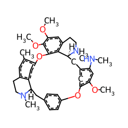 CNc1cc(OC)c2cc1C[C@H]1c3c(cc(OC)c(OC)c3Oc3cc4c(cc3C)CCN(C)[C@H]4Cc3ccc(cc3)O2)CCN1C